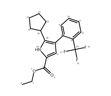 CCOC(=O)c1cc(-c2ccccc2C(F)(F)F)c(C2CCCC2)[nH]1